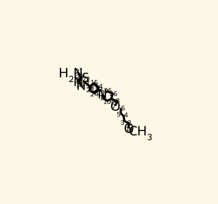 COCCCCCOCC1CCN(c2ccc(-c3nnc(N)s3)cc2)CC1